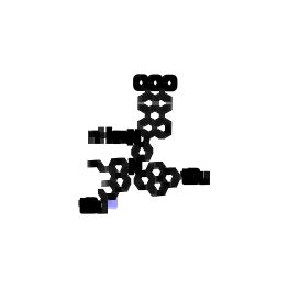 C=CCc1ccc(N(c2ccc3c4c5cccc6c7ccc8c9c(ccc(c(cc4n(CCCCCC)c3c2)c65)c97)C(=O)OC8=O)c2ccc3ccc4cc(C(C)(C)C)cc5ccc2c3c45)c2ccc(/C=C(\C)C(C)(C)C)c(C)c12